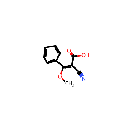 CO/C(=C(\C#N)C(=O)O)c1ccccc1